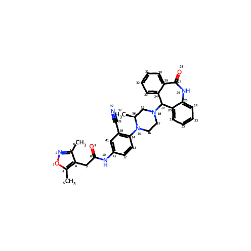 Cc1noc(C)c1CC(=O)Nc1ccc(N2CCN(C3c4ccccc4NC(=O)c4ccccc43)C[C@@H]2C)c(C#N)c1